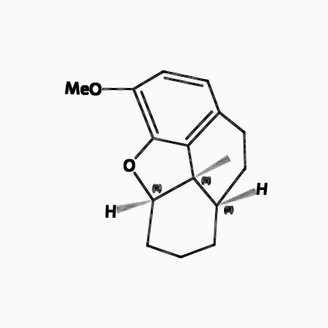 COc1ccc2c3c1O[C@@H]1CCC[C@H](CC2)[C@]31C